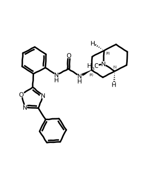 CN1[C@@H]2CCC[C@H]1C[C@@H](NC(=O)Nc1ccccc1-c1nc(-c3ccccc3)no1)C2